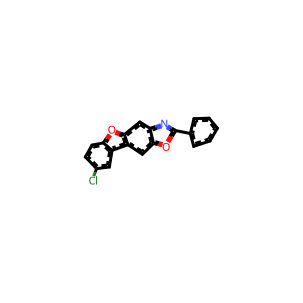 Clc1ccc2oc3cc4nc(-c5ccccc5)oc4cc3c2c1